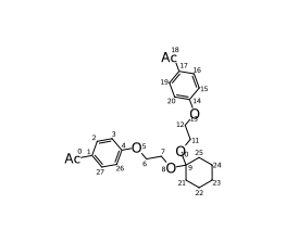 CC(=O)c1ccc(OCCOC2(OCCOc3ccc(C(C)=O)cc3)CCCCC2)cc1